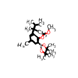 COCOc1c(B2OC(C)(C)C(C)(C)O2)cc(C)cc1C(C)(C)C(C)C